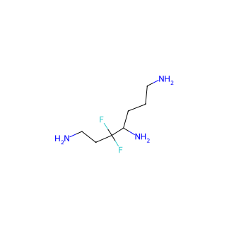 NCCCC(N)C(F)(F)CCN